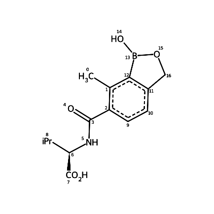 Cc1c(C(=O)N[C@@H](C(=O)O)C(C)C)ccc2c1B(O)OC2